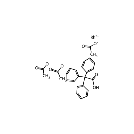 CC(=O)[O-].CC(=O)[O-].CC(=O)[O-].O=C(O)C(c1ccccc1)(c1ccccc1)c1ccccc1.[Rh+3]